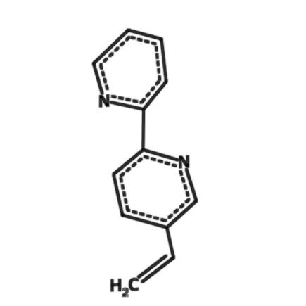 C=Cc1ccc(-c2ccccn2)nc1